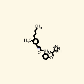 CCCCCc1ccc(/C=C/C(=O)Nc2cccc3c2OC(c2nnn[nH]2)CO3)cc1C